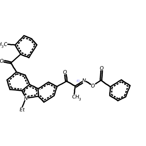 CCn1c2ccc(C(=O)/C(C)=N/OC(=O)c3ccccc3)cc2c2cc(C(=O)c3ccccc3C)ccc21